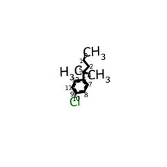 CCCC(C)(C)c1ccc(Cl)cc1